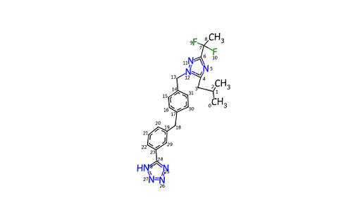 CC(C)Cc1nc(C(C)(F)F)nn1Cc1ccc(Cc2cccc(-c3nnn[nH]3)c2)cc1